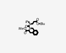 COC(=O)C1Cc2ccccc2CN1C(=O)N(CCC(=O)OC(C)(C)C)C(C)C